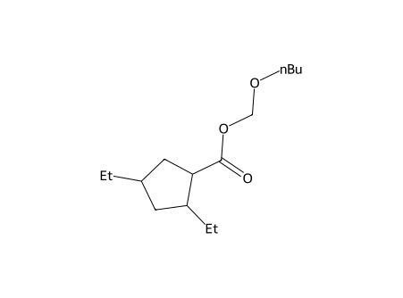 CCCCOCOC(=O)C1CC(CC)CC1CC